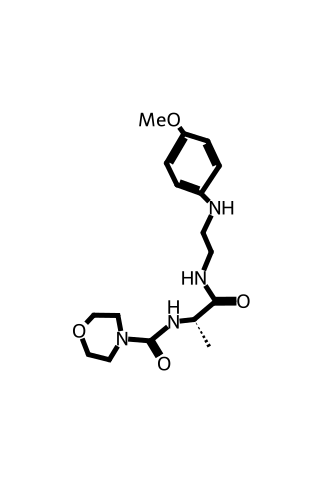 COc1ccc(NCCNC(=O)[C@H](C)NC(=O)N2CCOCC2)cc1